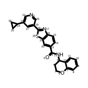 O=C(NC1CCOc2ccccc21)c1ccc2nc(-c3cncc(C4CC4)c3)sc2c1